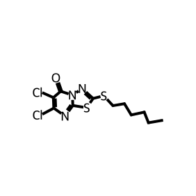 CCCCCCSc1nn2c(=O)c(Cl)c(Cl)nc2s1